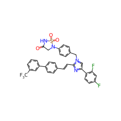 O=C1CN(c2ccc(Cn3cc(-c4ccc(F)cc4F)nc3C=Cc3ccc(-c4cccc(C(F)(F)F)c4)cc3)cc2)S(=O)(=O)N1